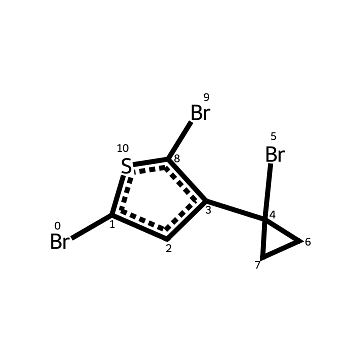 Brc1cc(C2(Br)CC2)c(Br)s1